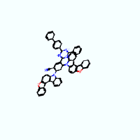 N#CC1C=C(C2NC(C3=CC=C(C4C=CC=CC4)CC3)NC(c3ccccc3)N2)C(N2c3ccc4c(c3C3C=CC=CC32)C2CCC=CC2O4)CC1N1C2=C(c3c(oc4ccccc34)CC2)C2C=CC=CC21